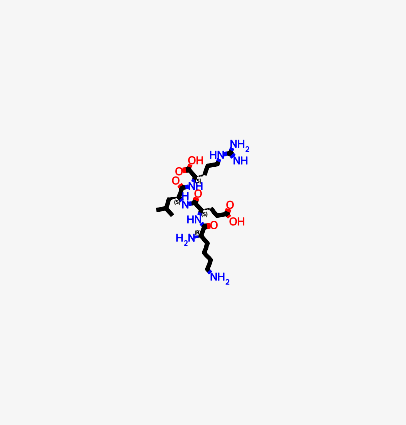 CC(C)C[C@H](NC(=O)[C@H](CCC(=O)O)NC(=O)[C@H](N)CCCCN)C(=O)N[C@@H](CCCNC(=N)N)C(=O)O